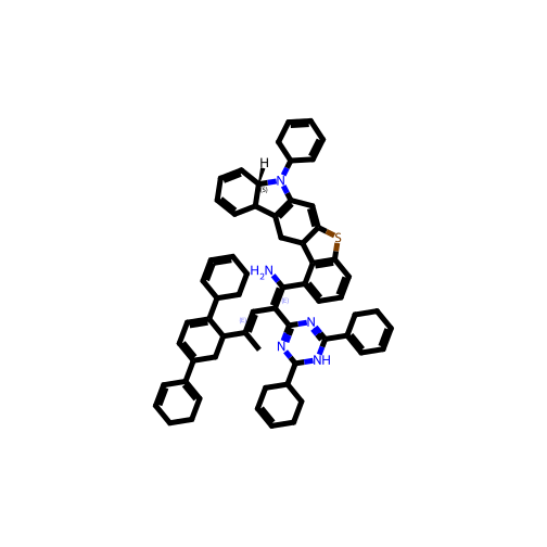 C/C(=C\C(C1=NC(C2CC=CCC2)NC(C2=CC=CCC2)=N1)=C(/N)c1cccc2c1C1CC3=C(C=C1S2)N(C1C=CC=CC1)[C@H]1C=CC=CC31)C1CC(C2=CCCC=C2)=CC=C1C1C=C=CCC1